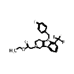 CCOC(=O)CN1CCc2c(c3cccc(C(F)(F)F)c3n2Cc2ccc(F)cc2)C1